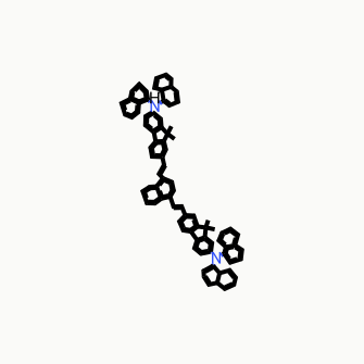 CC1(C)c2cc(/C=C/c3ccc(/C=C/c4ccc5c(c4)C(C)(C)c4cc(N(C6=CC=CC7C=CC=C[C@H]67)c6cccc7ccccc67)ccc4-5)c4ccccc34)ccc2-c2ccc(N(C3=CC=CC4C=CC=CC34)c3cccc4ccccc34)cc21